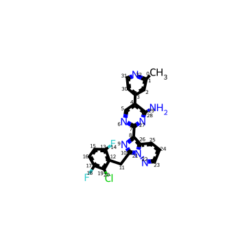 Cc1cc(-c2cnc(-c3nc(Cc4c(F)ccc(F)c4Cl)n4ncccc34)nc2N)ccn1